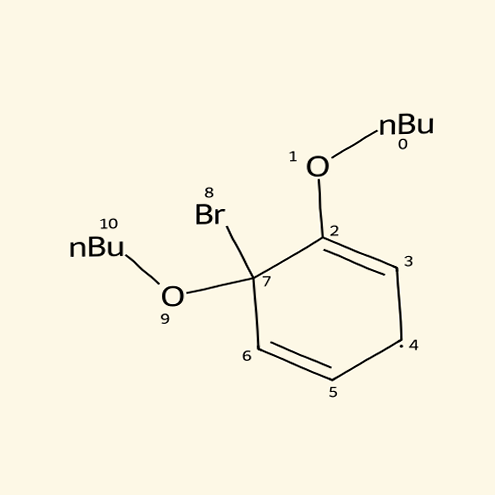 CCCCOC1=C[CH]C=CC1(Br)OCCCC